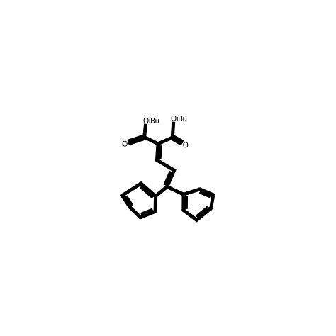 CC(C)COC(=O)C(=CC=C(c1ccccc1)c1ccccc1)C(=O)OCC(C)C